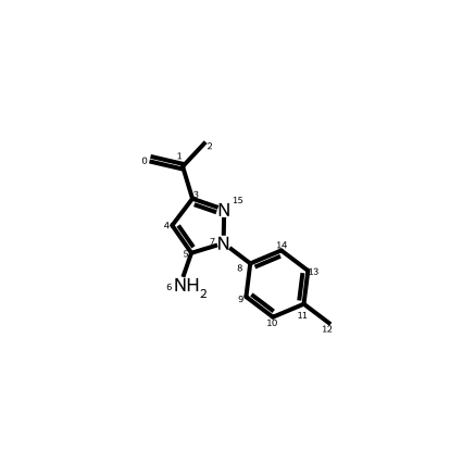 C=C(C)c1cc(N)n(-c2ccc(C)cc2)n1